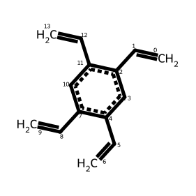 C=Cc1[c]c(C=C)c(C=C)cc1C=C